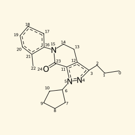 CCCc1nn(C2CCCC2)c2c1CCN(c1ccccc1C)C2=O